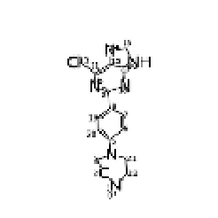 CN1CCN(c2ccc(-c3nc(Cl)c4nc[nH]c4n3)cc2)CC1